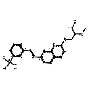 COC(CSc1ccc2ccc(C=Cc3cccc(C(F)(F)F)c3)cc2n1)OC